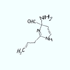 C=CCC1=NC(N)(C=O)C=CN1